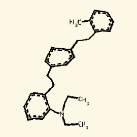 CCN(CC)c1ccccc1CCc1ccc(CCc2ccccc2C)cc1